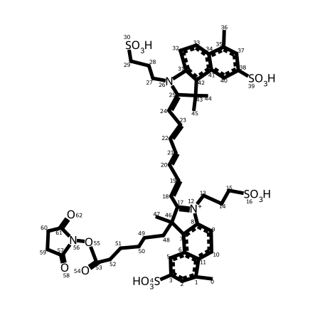 Cc1cc(S(=O)(=O)O)cc2c3c(ccc12)[N+](CCCS(=O)(=O)O)=C(/C=C/C=C/C=C/C=C1/N(CCCS(=O)(=O)O)c2ccc4c(C)cc(S(=O)(=O)O)cc4c2C1(C)C)C3(C)CCCCCC(=O)ON1C(=O)CCC1=O